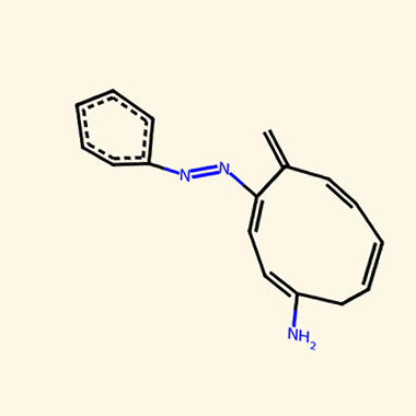 C=C1/C=C\C=C/C\C(N)=C/C=C1/N=N/c1ccccc1